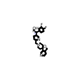 O/N=C(/c1ccc(CN2CCC3(CC2)OCc2ccncc23)nc1)c1ccc(F)c(F)c1